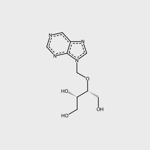 OC[C@H](O)[C@@H](CO)OCn1cnc2cncnc21